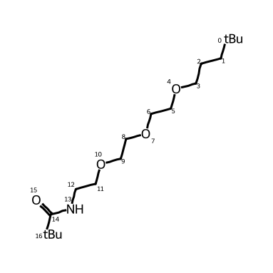 CC(C)(C)CCCOCCOCCOCCNC(=O)C(C)(C)C